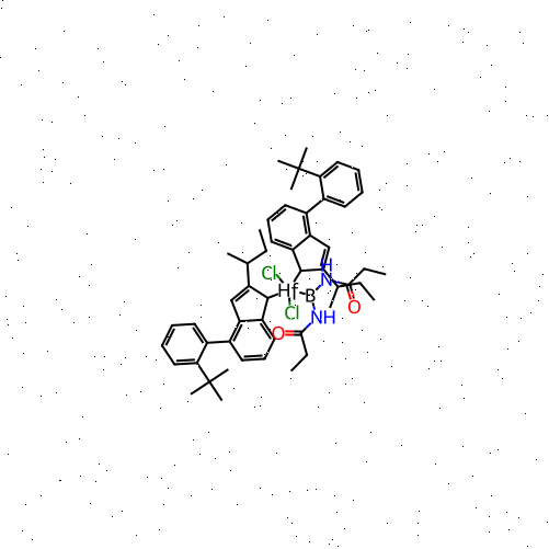 CCC(=O)N[B](NC(=O)CC)[Hf]([Cl])([Cl])([CH]1C(C(C)CC)=Cc2c(-c3ccccc3C(C)(C)C)cccc21)[CH]1C(C(C)CC)=Cc2c(-c3ccccc3C(C)(C)C)cccc21